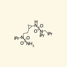 CC(C)CN(C(C)C)S(=O)(=O)NC1CC1CCN(C(C)C)S(N)(=O)=O